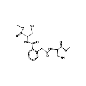 COC(=O)C(CS)NC(=O)Cc1ccccc1C(=O)NC(CS)C(=O)OC